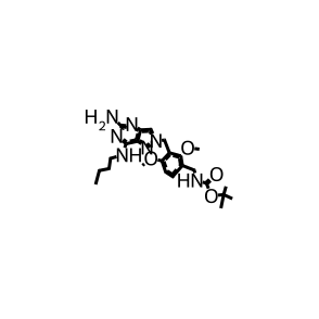 CCCCNc1nc(N)nc2cn(Cc3c(OC)ccc(CNC(=O)OC(C)(C)C)c3OC)nc12